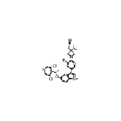 C[C@@H](Oc1ccc2[nH]nc(-c3cnc(N4CC(CC#N)(N(C)C)C4)c(F)c3)c2c1)c1c(Cl)cncc1Cl